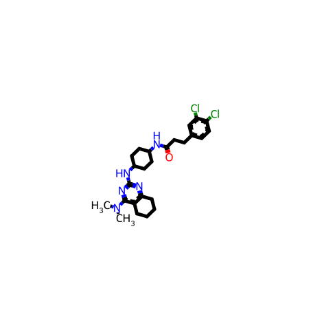 CN(C)c1nc(NC2CCC(NC(=O)CCc3ccc(Cl)c(Cl)c3)CC2)nc2c1CCCC2